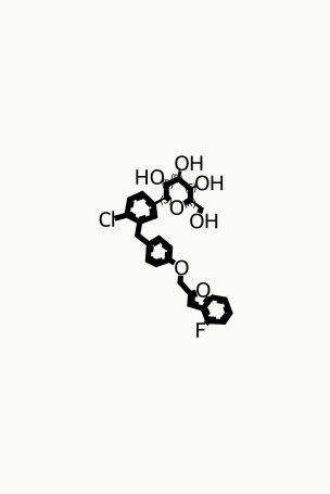 OC[C@H]1O[C@@H](c2ccc(Cl)c(Cc3ccc(OCc4cc5c(F)cccc5o4)cc3)c2)[C@H](O)[C@@H](O)[C@@H]1O